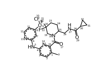 Cc1ccc(Nc2cc(OC(F)(F)F)ccn2)nc1C(=O)N1CC(F)(F)CCC1CNC(=O)C1CC1